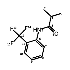 CC(C)C(=O)Nc1ccccc1C(F)(F)F